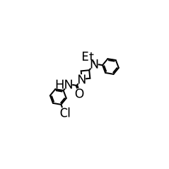 CCN(c1ccccc1)C1CN(C(=O)Nc2cccc(Cl)c2)C1